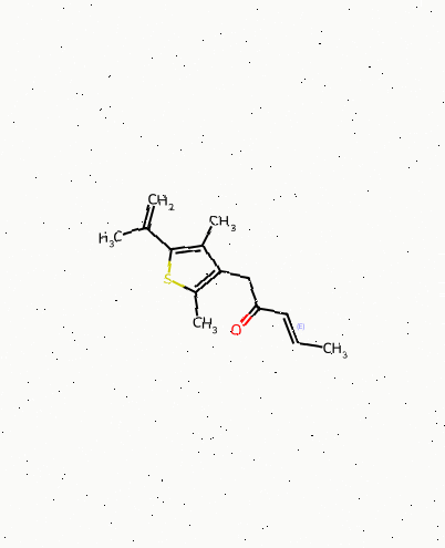 C=C(C)c1sc(C)c(CC(=O)/C=C/C)c1C